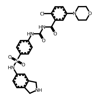 O=C(NC(=O)c1cc(N2CCOCC2)ccc1Cl)Nc1ccc(S(=O)(=O)Nc2ccc3c(c2)CNC3)cc1